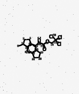 CC1CCc2c1nc1c(c2NC(=O)OCC(Cl)(Cl)Cl)CCC1